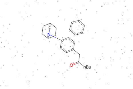 CCCCC(=O)Cc1c[c]c(N2CC3CCC2CC3)cc1.[c]1ccccc1